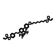 C=CC(=O)OCCCCCCCCOc1ccc(-c2ccc(CCc3ccc(OC(=O)C=C)cc3)c(C(F)(F)F)c2C(F)(F)F)cc1